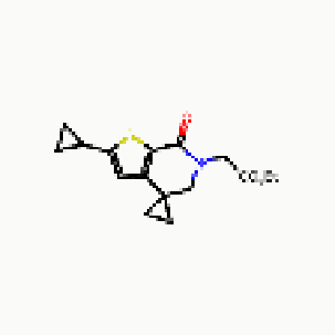 CCOC(=O)CN1CC2(CC2)c2cc(C3CC3)sc2C1=O